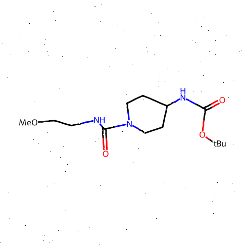 COCCNC(=O)N1CCC(NC(=O)OC(C)(C)C)CC1